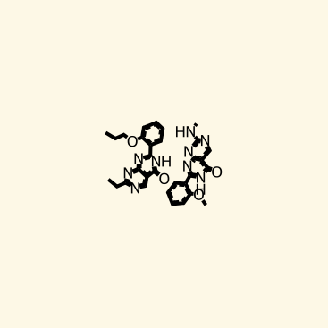 CCCOc1ccccc1-c1nc2nc(CC)ncc2c(=O)[nH]1.CNc1ncc2c(=O)[nH]c(-c3ccccc3OC)nc2n1